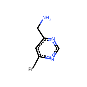 CC(C)c1cc(CN)ncn1